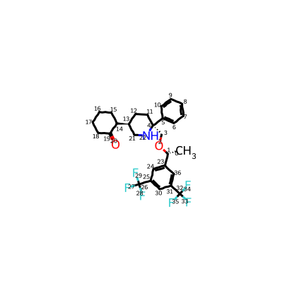 C[C@@H](OC[C@@]1(c2ccccc2)CC[C@H](C2CCCCC2=O)CN1)c1cc(C(F)(F)F)cc(C(F)(F)F)c1